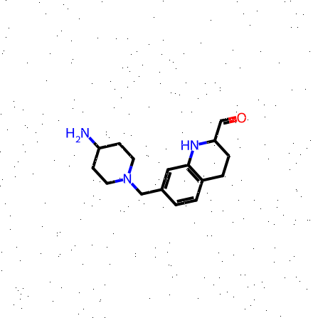 NC1CCN(Cc2ccc3c(c2)NC(C=O)CC3)CC1